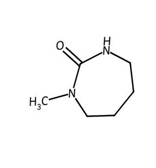 CN1CCCCNC1=O